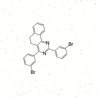 Brc1cccc(-c2nc(-c3cccc(Br)c3)c3c(n2)-c2ccccc2CC3)c1